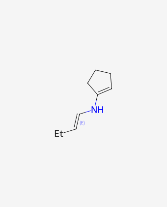 CC/C=C/NC1=CCCC1